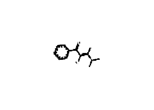 C/C(=C(/C#N)C(=O)c1ccccc1)N(C)C